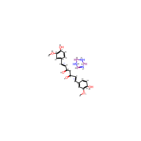 COc1cc(/C=C/C(=O)CC(=O)/C=C/c2ccc(O)c(OC)c2)ccc1O.n1p[nH][pH][nH][pH]1